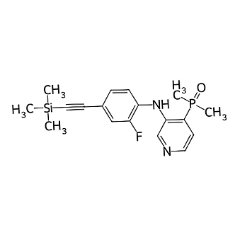 C[Si](C)(C)C#Cc1ccc(Nc2cnccc2P(C)(C)=O)c(F)c1